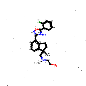 CCC1(CN(C=O)CCO)CCc2c(C3=NOC(c4ccccc4Cl)N3)cccc21